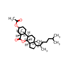 CC(=O)O[C@H]1CC[C@@]2(C)[C@@H](C1)C(=O)O[C@@H]1[C@@H]2CC[C@]2(C)[C@@H]([C@H](C)CCCC(C)C)CC[C@@H]12